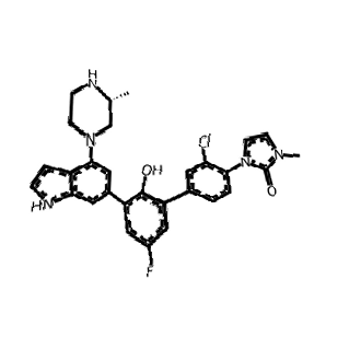 C[C@@H]1CN(c2cc(-c3cc(F)cc(-c4ccc(-n5ccn(C)c5=O)c(Cl)c4)c3O)cc3[nH]ccc23)CCN1